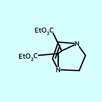 CCOC(=O)C1C(C(=O)OCC)N2C=CN1CC2